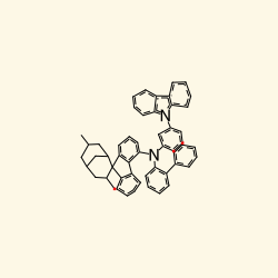 CC1CC2CC(C)C3(c4ccccc4-c4c(N(c5cccc(-n6c7ccccc7c7ccccc76)c5)c5ccccc5-c5ccccc5)cccc43)C(C1)C2